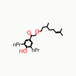 CCCc1cc(C(=O)COCCC(C)CCC=C(C)C)cc(CCC)c1O